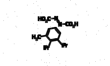 Cc1cccc(C(C)C)c1C(C)C.O=C(O)N=NC(=O)O